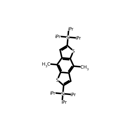 Cc1c2cc([Si](C(C)C)(C(C)C)C(C)C)sc2c(C)c2cc([Si](C(C)C)(C(C)C)C(C)C)sc12